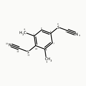 Cc1cc(SC#N)cc(C)c1SC#N